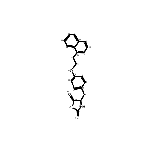 O=C1NC(Cc2ccc(OCCc3cccc4ccccc34)cc2)C(=O)S1